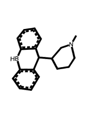 CN1CCCC(C2c3ccccc3Bc3ccccc32)C1